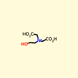 O=C(O)C[N+](CCO)CC(=O)O